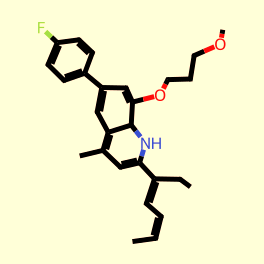 C/C=C\C=C(/CC)C1=CC(C)=C2C=C(c3ccc(F)cc3)C=C(OCCCOC)C2N1